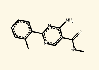 CNC(=O)c1cnc(-c2ccccc2C)nc1N